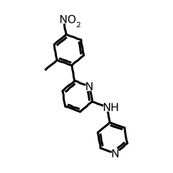 Cc1cc([N+](=O)[O-])ccc1-c1cccc(Nc2ccncc2)n1